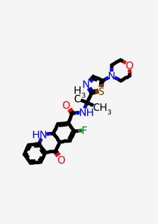 CC(C)(NC(=O)C1=CC2Nc3ccccc3C(=O)C2C=C1F)c1ncc(N2CCOCC2)s1